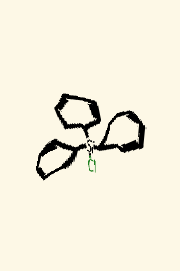 Cl[Si](C1C=CC=CC1)(C1C=CC=CC1)C1C=CC=CC1